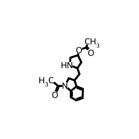 CC(=O)OC1CNC(CC2CN(C(C)=O)c3ccccc32)C1